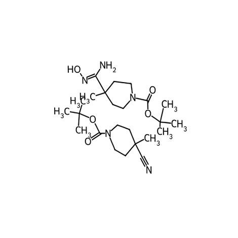 CC(C)(C)OC(=O)N1CCC(C)(C(N)=NO)CC1.CC1(C#N)CCN(C(=O)OC(C)(C)C)CC1